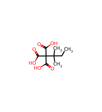 CCC(C)(C)C(C(=O)O)(C(=O)O)C(=O)O